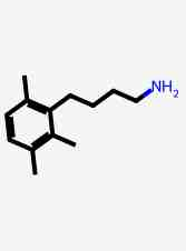 Cc1ccc(C)c(CCCCN)c1C